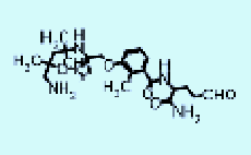 Cc1c(OCC(=O)NC(C)(C)CC(C)(C)CN)cccc1C(=O)NC(CCC=O)C(N)=O